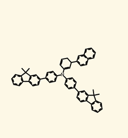 CC1(C)c2ccccc2-c2ccc(-c3ccc(N(C4=CC(c5ccc6ccccc6c5)CC=C4)c4ccc(-c5ccc6c(c5)C(C)(C)c5ccccc5-6)cc4)cc3)cc21